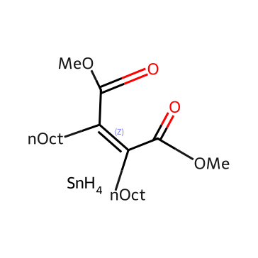 CCCCCCCC/C(C(=O)OC)=C(\CCCCCCCC)C(=O)OC.[SnH4]